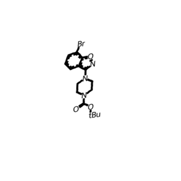 CC(C)(C)OC(=O)N1CCN(c2noc3c(Br)cccc23)CC1